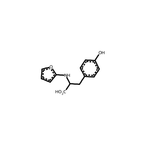 O=C(O)C(Cc1ccc(O)cc1)Nc1ccco1